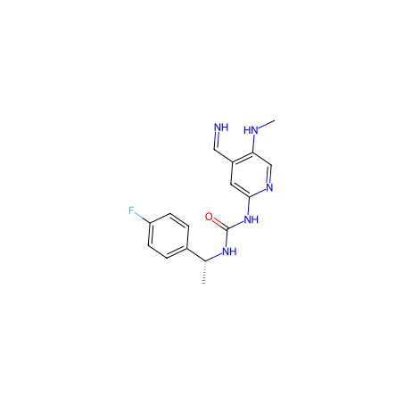 CNc1cnc(NC(=O)N[C@H](C)c2ccc(F)cc2)cc1C=N